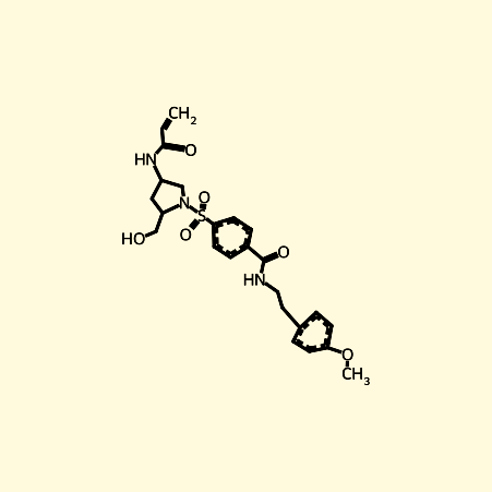 C=CC(=O)NC1CC(CO)N(S(=O)(=O)c2ccc(C(=O)NCCc3ccc(OC)cc3)cc2)C1